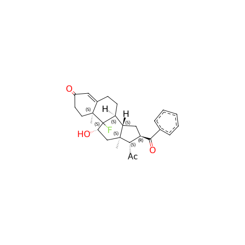 CC(=O)[C@H]1[C@H](C(=O)c2ccccc2)C[C@H]2[C@@H]3CCC4=CC(=O)CC[C@]4(C)C3(F)[C@@H](O)C[C@@]21C